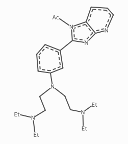 CCN(CC)CCN(CCN(CC)CC)c1cccc(-c2nc3ncccc3n2C(C)=O)c1